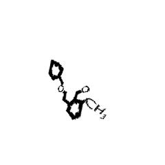 Cc1cccc(CCOCc2ccccc2)c1C=O